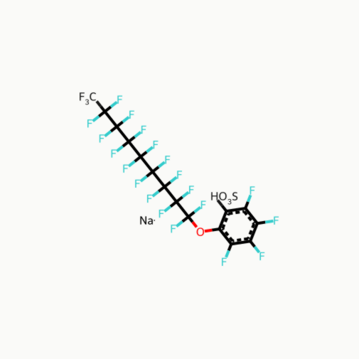 O=S(=O)(O)c1c(F)c(F)c(F)c(F)c1OC(F)(F)C(F)(F)C(F)(F)C(F)(F)C(F)(F)C(F)(F)C(F)(F)C(F)(F)C(F)(F)F.[Na]